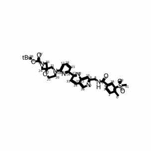 Cc1ccc(C(=O)NCc2cc3nc(-c4cccc(N5CCOC6(CN(C(=O)OC(C)(C)C)C6)C5)n4)ccc3cn2)cc1S(C)(=O)=O